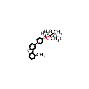 BC(C)(C)C(C)(C)OBc1ccc(-c2ccc3sc4cccc(C)c4c3c2)cc1